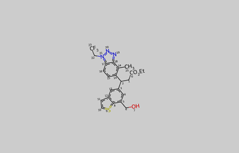 CCOC(=O)CC(c1cc(CO)c2sccc2c1)c1ccc2c(nnn2CC(F)(F)F)c1C